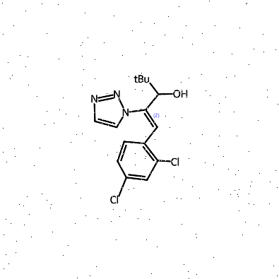 CC(C)(C)C(O)/C(=C/c1ccc(Cl)cc1Cl)n1ccnn1